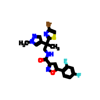 Cn1cc(C(C)(CNC(=O)c2cc(-c3ccc(F)cc3F)on2)c2nc(Br)cs2)cn1